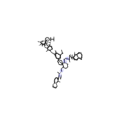 CCc1cc(OC2=C(/C=C/C(C)=N/c3ccc4ccccc4c3C)CCC/C2=C\C=C(/C)N(C)c2ccc3ccccc3c2C)cc(Cc2ccc(O)c(Cc3cc(O)cc(C)c3C)c2C)c1C